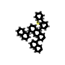 c1ccc2c(-c3cccc4c(-c5cccc6c5sc5ccccc56)c5cccc(-c6cccc7ccccc67)c5cc34)cccc2c1